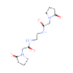 O=C(CN1CCCC1=O)NCCNC(=O)CN1CCCC1=O